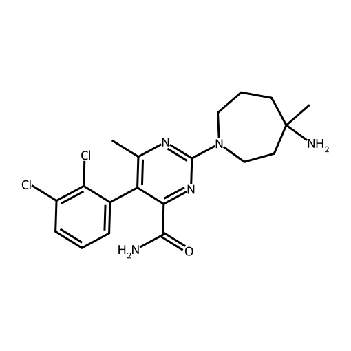 Cc1nc(N2CCCC(C)(N)CC2)nc(C(N)=O)c1-c1cccc(Cl)c1Cl